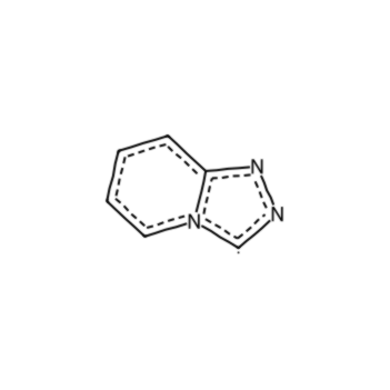 [c]1nnc2ccccn12